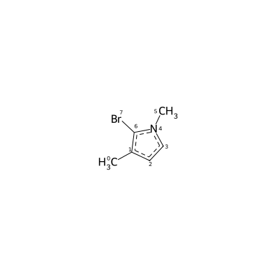 Cc1ccn(C)c1Br